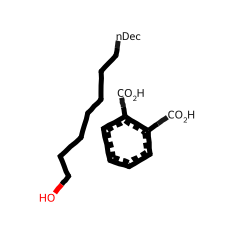 CCCCCCCCCCCCCCCCCO.O=C(O)c1ccccc1C(=O)O